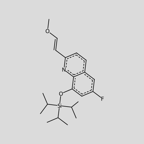 COC=Cc1ccc2cc(F)cc(O[Si](C(C)C)(C(C)C)C(C)C)c2n1